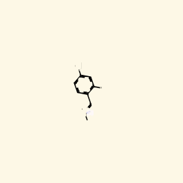 C/N=C/c1ccc(Cl)cc1Cl